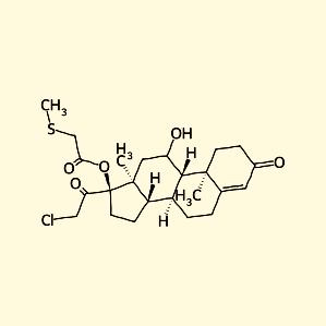 CSCC(=O)O[C@]1(C(=O)CCl)CC[C@H]2[C@@H]3CCC4=CC(=O)CC[C@]4(C)[C@H]3C(O)C[C@@]21C